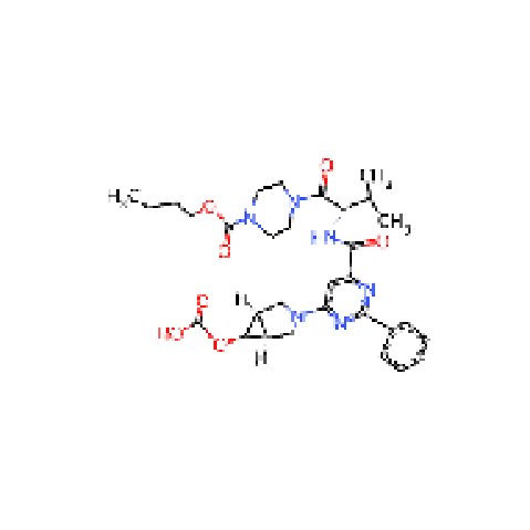 CCCCOC(=O)N1CCN(C(=O)[C@@H](NC(=O)c2cc(N3C[C@@H]4[C@H](C3)[C@@H]4OC(=O)O)nc(-c3ccccc3)n2)C(C)C)CC1